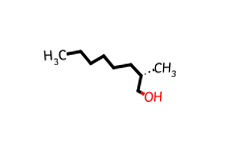 CCCCCC[C@H](C)CO